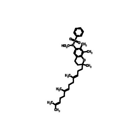 CC(C)=CCC/C(C)=C/CC/C(C)=C/CCC1(C)CCc2cc(N(C(=O)O)S(=O)(=O)c3ccccc3)c(C)c(C)c2O1